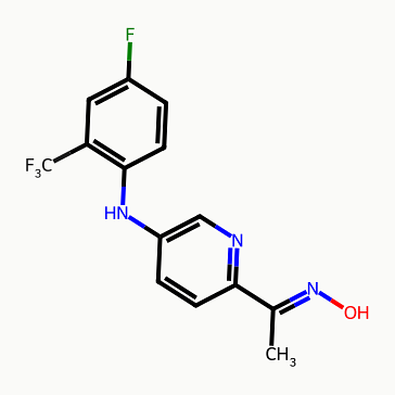 CC(=NO)c1ccc(Nc2ccc(F)cc2C(F)(F)F)cn1